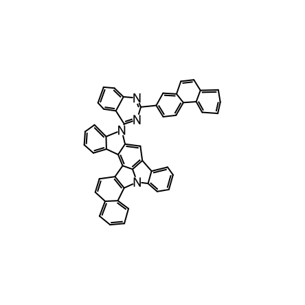 c1ccc2c(c1)ccc1cc(-c3nc(-n4c5ccccc5c5c6c7ccc8ccccc8c7n7c8ccccc8c(cc54)c67)c4ccccc4n3)ccc12